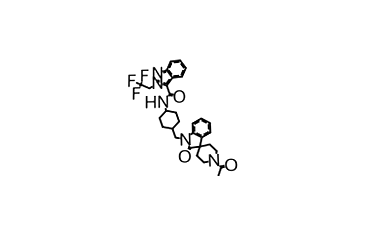 CC(=O)N1CCC2(CC1)C(=O)N(CC1CCC(NC(=O)c3c4ccccc4nn3CC(F)(F)F)CC1)c1ccccc12